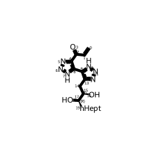 C=CC(=O)c1nn[nH]c1-c1[nH]nnc1C[C@@H](O)[C@H](O)CCCCCCC